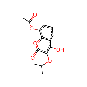 CC(=O)Oc1cccc2c(O)c(OC(C)C)c(=O)oc12